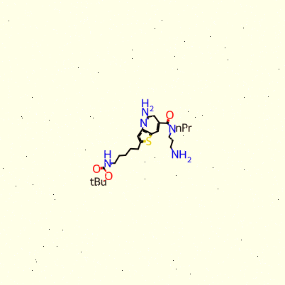 CCCN(CCCN)C(=O)C1=Cc2sc(CCCCCNC(=O)OC(C)(C)C)cc2N=C(N)C1